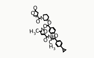 Cc1cc(C(=O)N[C@@H](C)[C@H](Oc2ccc(C(=O)O[C@H]3CCCN(C(=O)[C@H]4COC(=O)C4)C3)cc2)c2ccc(C3CC3)cc2)on1